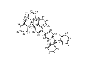 c1ccc(-n2c3ccccc3c3cc(-c4ccc5c6c4cccc6c4cccc6sc7ccccc7n5-c64)ccc32)cc1